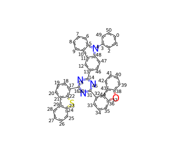 c1ccc(-n2c3ccccc3c3cc(-c4nc(-c5cccc6c5sc5ccccc56)nc(-c5cccc6oc7ccccc7c56)n4)ccc32)cc1